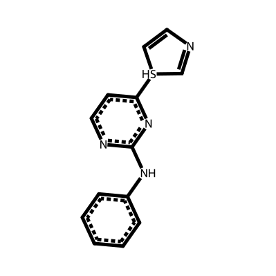 C1=C[SH](c2ccnc(Nc3ccccc3)n2)C=N1